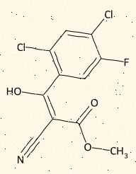 COC(=O)/C(C#N)=C(/O)c1cc(F)c(Cl)cc1Cl